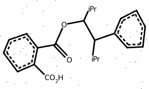 CC(C)C(OC(=O)c1ccccc1C(=O)O)C(c1ccccc1)C(C)C